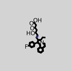 CCc1c(/C=C/C(O)CC(=O)CC(=O)O)c(-c2ccc(F)cc2)c2c3ccccc3ccn12